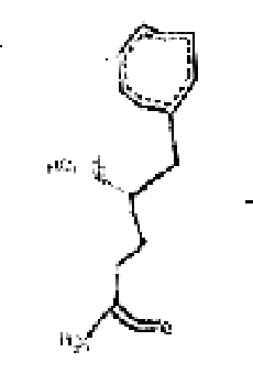 Cl.NC(=O)CC[C@H](N)Cc1ccccc1